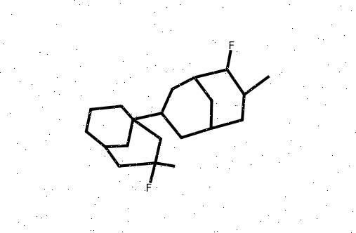 CC1CC2CC(CC(C34CCCC(CC(C)(F)C3)C4)C2)C1F